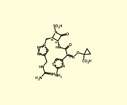 N=C(N)NCc1cn(C[C@@H]2[C@H](NC(=O)/C(=N\OC3(C(=O)O)CC3)c3csc(N)n3)C(=O)N2S(=O)(=O)O)nn1